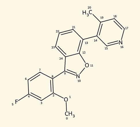 COc1cc(F)ccc1-c1noc2c(-c3cnccc3C)cccc12